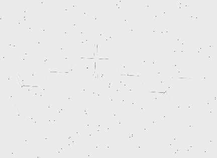 CCCCCCCCOC(=O)OCCOP([NH])(=O)OCCOC(=O)OCCCCCCCC